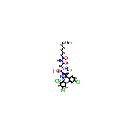 CCCCCCCCCCCCCCCC(=O)NC(=O)CNC(O)c1nn(-c2ccc(Cl)cc2Cl)c(-c2ccc(Cl)cc2)c1C